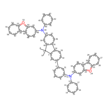 CC1(C)c2cc(-c3cccc(N(c4ccccc4)c4ccc5c(c4)oc4ccccc45)c3)ccc2-c2ccc(N(c3ccccc3)c3ccc4c(c3)oc3ccccc34)cc21